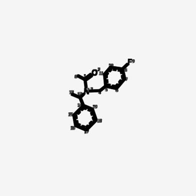 CC(=O)N(Cc1ccc(F)cc1)C(C)c1ccccc1